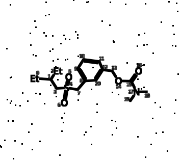 CCC(CC)CS(=O)(=O)Cc1cccc(COC(=O)N(C)C)c1